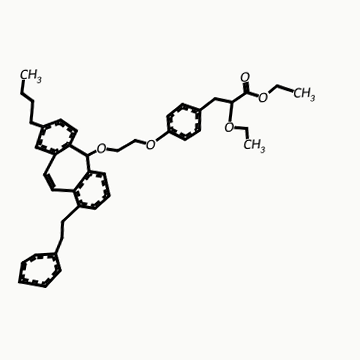 CCCCc1ccc2c(c1)C=Cc1c(CCc3ccccc3)cccc1C2OCCOc1ccc(CC(OCC)C(=O)OCC)cc1